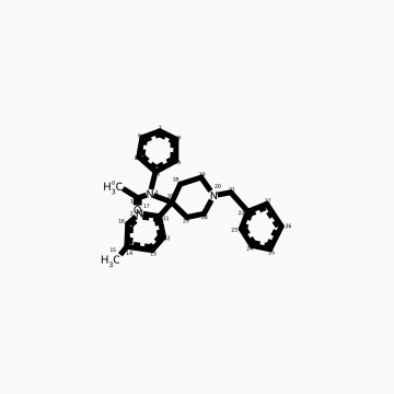 CC(=O)N(c1ccccc1)C1(c2ccc(C)cn2)CCN(Cc2ccccc2)CC1